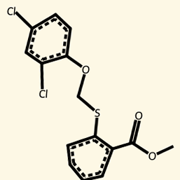 COC(=O)c1ccccc1SCOc1ccc(Cl)cc1Cl